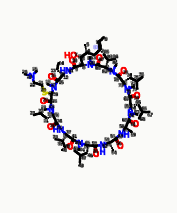 C/C=C/C[C@@H](C)[C@@H](O)[C@H]1C(=O)N[C@@H](CC)C(=O)N(C)[C@H](SCCN(C)C)C(=O)N(C)[C@@H](CCC)C(=O)N[C@@H](C(C)C)C(=O)N(C)[C@@H](CC(C)C)C(=O)N[C@@H](C)C(=O)N[C@H](C)C(=O)N(C)[C@@H](CC(C)C)C(=O)N(C)[C@@H](CC(C)C)C(=O)N(C)[C@@H](C(C)C)C(=O)N1C